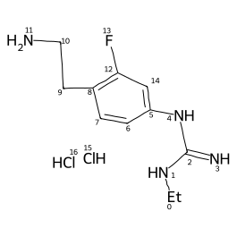 CCNC(=N)Nc1ccc(CCN)c(F)c1.Cl.Cl